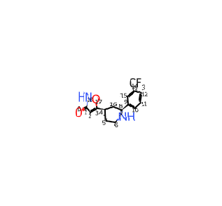 O=c1cc([C@@H]2CCN[C@H](c3cccc(C(F)(F)F)c3)C2)o[nH]1